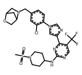 CS(=O)(=O)N1CCC(Nc2ncc(C(F)(F)F)c(-c3cn(-c4ccc(CN5CC6CC5CO6)cc4Cl)cn3)n2)CC1